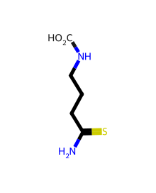 NC(=S)CCCNC(=O)O